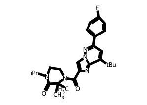 CC(C)N1CCN(C(=O)c2cn3nc(-c4ccc(F)cc4)cc(C(C)(C)C)c3n2)C(C)(C)C1=O